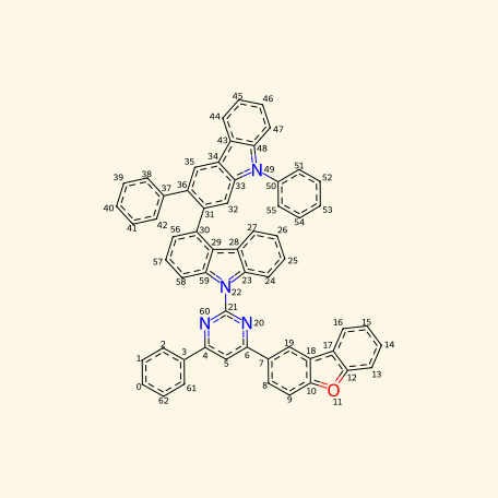 c1ccc(-c2cc(-c3ccc4oc5ccccc5c4c3)nc(-n3c4ccccc4c4c(-c5cc6c(cc5-c5ccccc5)c5ccccc5n6-c5ccccc5)cccc43)n2)cc1